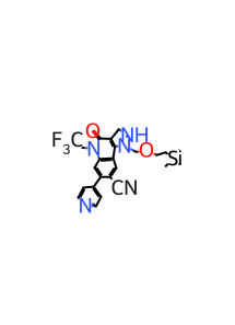 C[Si](C)(C)CCOCN1NCc2c1c1cc(C#N)c(-c3ccncc3)cc1n(CC(F)(F)F)c2=O